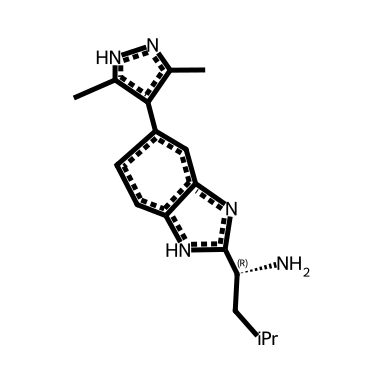 Cc1n[nH]c(C)c1-c1ccc2[nH]c([C@H](N)CC(C)C)nc2c1